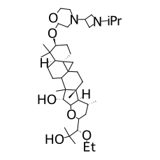 CCO[C@@H](C1C[C@@H](C)[C@H]2C(O1)[C@H](O)C1(C)C3CC[C@H]4C(C)(C)[C@@H](OC5CN(C6CN(C(C)C)C6)CCO5)CC[C@@]45CC35CC[C@]21C)C(C)(C)O